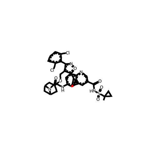 CC1(S(=O)(=O)NC(=O)c2cnc3ccc(NC(=O)N4C5CC(OCc6c(-c7c(Cl)cccc7Cl)noc6C6CC6)CC4C5)cc3c2)CC1